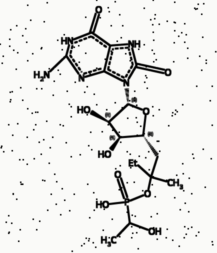 CCC(C)(C[C@H]1O[C@@H](n2c(=O)[nH]c3c(=O)[nH]c(N)nc32)[C@H](O)[C@@H]1O)OP(=O)(O)C(C)O